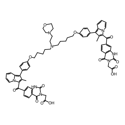 Cc1c(-c2ccc(OCCCCCN(CCCCCOc3ccc(-c4c(C)c(C(=O)c5ccc6c(=O)n(CC(=O)O)c(=O)[nH]c6c5)n5ccccc45)cc3)CCN3CCOCC3)cc2)c2ccccn2c1C(=O)c1ccc2c(=O)n(CC(=O)O)c(=O)[nH]c2c1